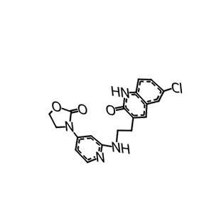 O=C1OCCN1c1ccnc(NCCc2cc3cc(Cl)ccc3[nH]c2=O)c1